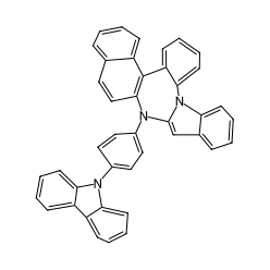 c1ccc2c(c1)-c1c(ccc3ccccc13)N(c1ccc(-n3c4ccccc4c4ccccc43)cc1)c1cc3ccccc3n1-2